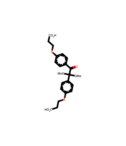 COC(OC)(C(=O)c1ccc(SCCC(=O)O)cc1)c1ccc(SCCC(=O)O)cc1